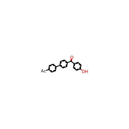 CC(=O)c1ccc(-c2ccc(C(=O)c3ccc(O)cc3)cc2)cc1